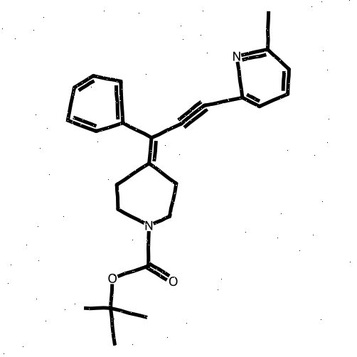 Cc1cccc(C#CC(=C2CCN(C(=O)OC(C)(C)C)CC2)c2ccccc2)n1